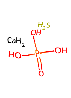 O=P(O)(O)O.S.[CaH2]